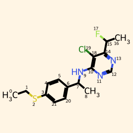 CCSc1ccc(C(C)Nc2ncnc(C(C)F)c2Cl)cc1